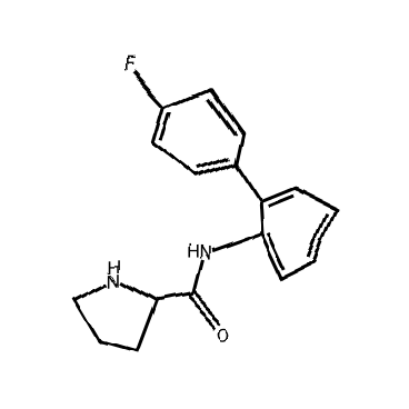 O=C(Nc1ccccc1-c1ccc(F)cc1)C1CCCN1